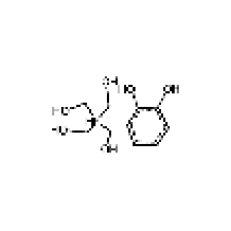 OC[PH](CO)(CO)CO.Oc1ccccc1O